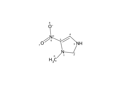 CN1[C]NC=C1[N+](=O)[O-]